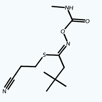 CNC(=O)ON=C(CC(C)(C)C)SCCC#N